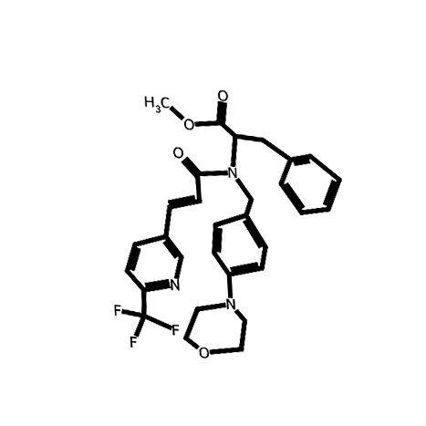 COC(=O)C(Cc1ccccc1)N(Cc1ccc(N2CCOCC2)cc1)C(=O)C=Cc1ccc(C(F)(F)F)nc1